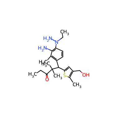 CCC(=O)C(C)(C)C(c1cc(CO)c(C)s1)c1ccc(N(N)CC)c(N)c1C